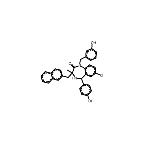 CC1(Cc2ccc3ccccc3c2)NC(c2ccc(O)cc2)c2cc(Cl)ccc2N(Cc2cccc(O)c2)C1=O